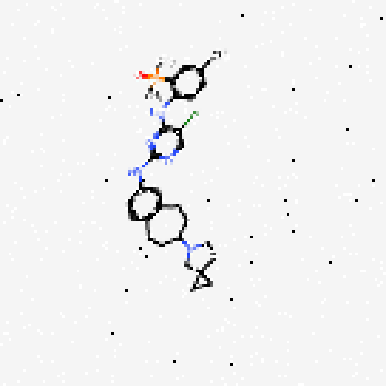 Cc1ccc(Nc2nc(Nc3ccc4c(c3)CCC(N3CCC5(CC5)C3)CC4)ncc2Cl)c(P(C)(C)=O)c1